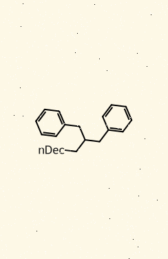 CCCCCCCCCCCC(Cc1ccccc1)Cc1ccccc1